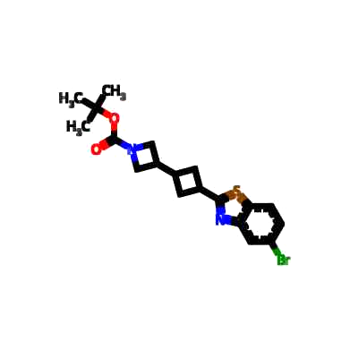 CC(C)(C)OC(=O)N1CC(C2CC(c3nc4cc(Br)ccc4s3)C2)C1